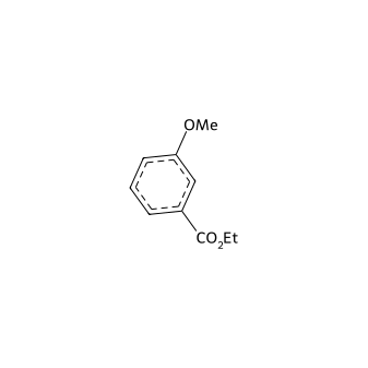 [CH2]COC(=O)c1cccc(OC)c1